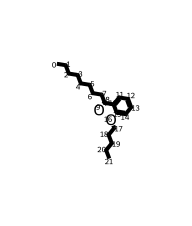 CCCCCCCCC(=O)c1ccccc1OCCCCC